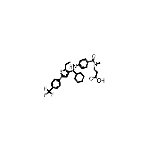 CCc1sc(-c2ccc(C(F)(F)F)cc2)cc1C(Nc1ccc(C(=O)N(C)CCC(=O)O)cc1)C1CCCCC1